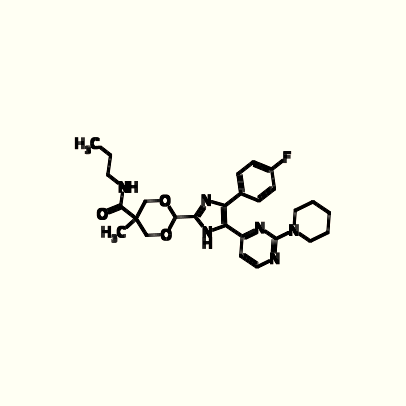 CCCNC(=O)C1(C)COC(c2nc(-c3ccc(F)cc3)c(-c3ccnc(N4CCCCC4)n3)[nH]2)OC1